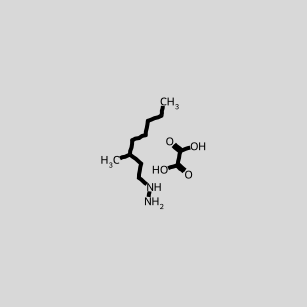 CCCCCC(C)CCNN.O=C(O)C(=O)O